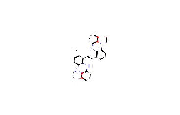 C(=C\c1cccc(N2CCOCC2)c1Nc1ccccc1)/c1cccc(N2CCOCC2)c1Nc1ccccc1.[NaH]